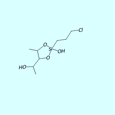 CC(O)C1O[Si](O)(CCCCl)OC1C